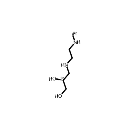 CC(C)NCCNC[C@H](O)CO